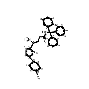 N[C@@H](CCC(=O)NC(c1ccccc1)(c1ccccc1)c1ccccc1)c1ncc(-c2ccc(F)cc2)s1